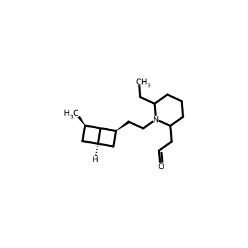 CCC1CCCC(CC=O)N1CC[C@H]1C[C@H]2C[C@@H](C)C12